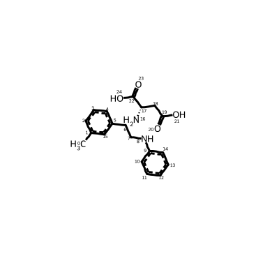 Cc1cccc(CCNc2ccccc2)c1.N[C@@H](CC(=O)O)C(=O)O